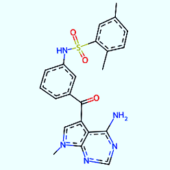 Cc1ccc(C)c(S(=O)(=O)Nc2cccc(C(=O)c3cn(C)c4ncnc(N)c34)c2)c1